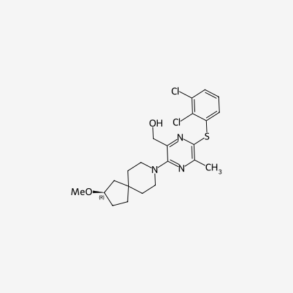 CO[C@@H]1CCC2(CCN(c3nc(C)c(Sc4cccc(Cl)c4Cl)nc3CO)CC2)C1